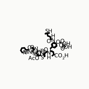 CC[C@H](C)[C@H](NC(=O)C1CCCCN1C)C(=O)N(C)[C@H](C[C@@H](OC(C)=O)c1nc(C(=O)N[C@@H](Cc2ccc(OC(=O)OP(=O)(O)O)c(NC(=O)CCC(C)(C)S)c2)CC(C)C(=O)O)cs1)C(C)C